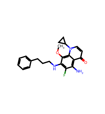 COc1c(NCCCc2ccccc2)c(F)c(N)c2c(=O)ccn(C3CC3)c12